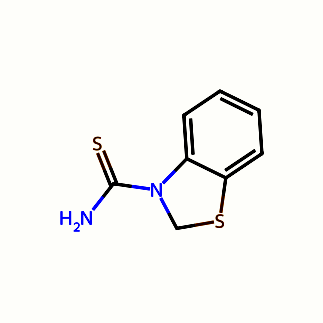 NC(=S)N1CSc2ccccc21